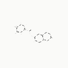 O=C(Oc1ccc2ccccc2c1)c1ccc(Cl)cc1